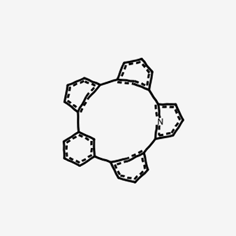 c1cc2cc(c1)-c1cccc(c1)-c1cccc(n1)-c1cccc(c1)-c1cccc-2c1